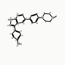 CN1CCN(c2ccc(-c3cnc4[nH]nc(-c5ccc(C(C)(C)C)cc5)c4c3)cc2)CC1